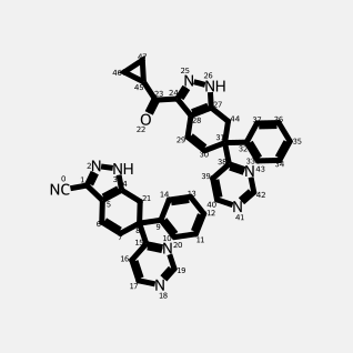 N#Cc1n[nH]c2c1C=CC(c1ccccc1)(c1ccncn1)C2.O=C(c1n[nH]c2c1C=CC(c1ccccc1)(c1ccncn1)C2)C1CC1